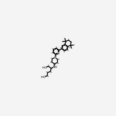 CC1(C)CCC(C)(C)c2cc(-c3cccc(N4CCC(NC(CO)CCCO)CC4)n3)ccc21